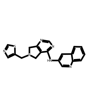 c1ccc2ncc(Nc3ncnc4c3CN(Cc3cncs3)C4)cc2c1